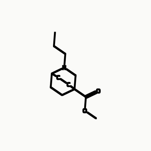 CCCN1CC2(C(=O)OC)CCC1CC2